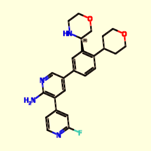 Nc1ncc(-c2ccc(C3CCOCC3)c([C@@H]3COCCN3)c2)cc1-c1ccnc(F)c1